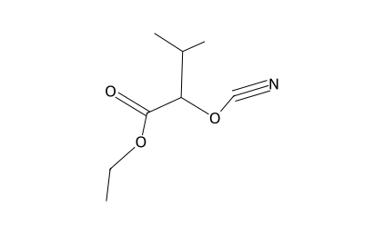 CCOC(=O)C(OC#N)C(C)C